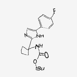 CC(C)(C)OC(=O)NC1(c2ncc(-c3ccc(F)cc3)[nH]2)CCC1